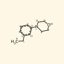 CCc1cccc(N2CCOCC2)c1